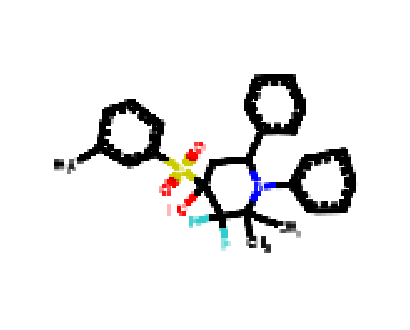 Cc1cccc(S(=O)(=O)C2(O)CC(c3ccccc3)N(c3ccccc3)C(C)(C)C2(F)F)c1